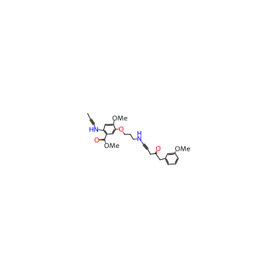 CC#CNc1cc(OC)c(OCCCNC#CCC(=O)Cc2cccc(OC)c2)cc1C(=O)OC